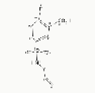 C=CCNS(=O)(=O)c1ccc(F)c(C(=O)O)c1